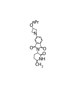 C=C1CCC(N2C(=O)c3ccc(N4CC(OCCC)C4)cc3C2=O)C(=O)N1